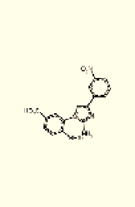 CC(=O)Nc1ccc(C(=O)O)cc1-n1cc(-c2cccc([N+](=O)[O-])c2)nc1N